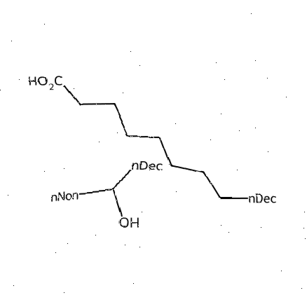 CCCCCCCCCCC(O)CCCCCCCCC.CCCCCCCCCCCCCCCCCC(=O)O